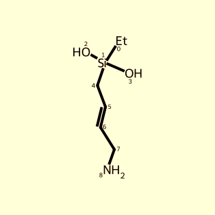 CC[Si](O)(O)CC=CCN